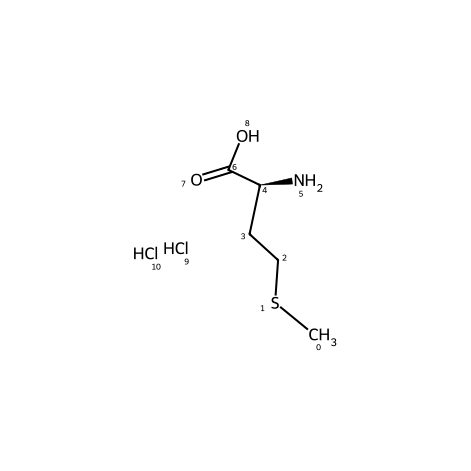 CSCC[C@H](N)C(=O)O.Cl.Cl